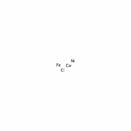 [C].[Ca].[Fe].[Ni]